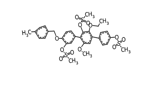 CCOc1c(-c2ccc(OS(C)(=O)=O)cc2)cc(OC)c(-c2ccc(OCc3ccc(C)cc3)c(OS(C)(=O)=O)c2)c1OS(C)(=O)=O